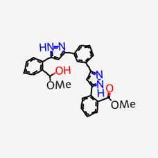 COC(=O)c1ccccc1-c1cc(-c2cccc(-c3cc(-c4ccccc4C(O)OC)[nH]n3)c2)n[nH]1